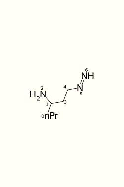 CCCC(N)CCN=N